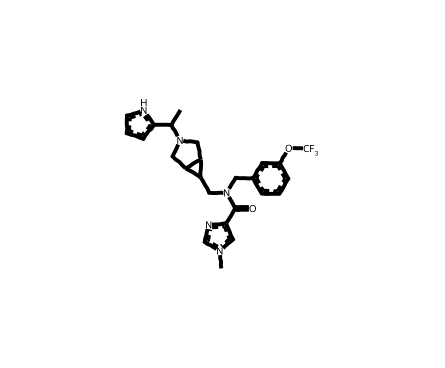 CC(c1ccc[nH]1)N1CC2C(CN(Cc3cccc(OC(F)(F)F)c3)C(=O)c3cn(C)cn3)C2C1